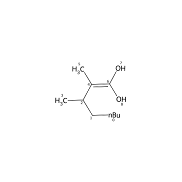 CCCCCC(C)C(C)=C(O)O